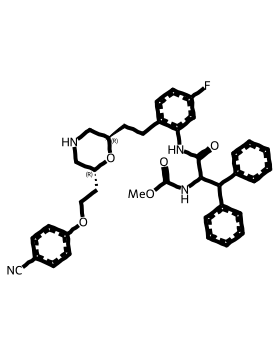 COC(=O)NC(C(=O)Nc1cc(F)ccc1CC[C@@H]1CNC[C@@H](CCOc2ccc(C#N)cc2)O1)C(c1ccccc1)c1ccccc1